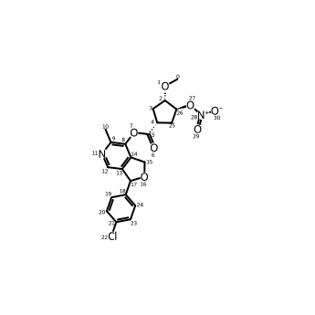 CO[C@H]1C[C@@H](C(=O)Oc2c(C)ncc3c2COC3c2ccc(Cl)cc2)C[C@@H]1O[N+](=O)[O-]